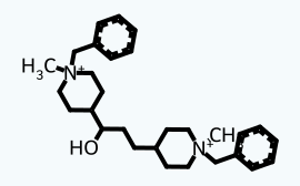 C[N+]1(Cc2ccccc2)CCC(CCC(O)C2CC[N+](C)(Cc3ccccc3)CC2)CC1